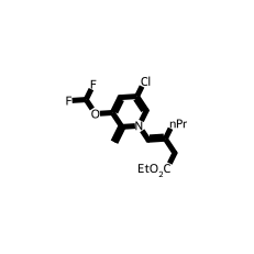 C=C1C(OC(F)F)=CC(Cl)=CN1/C=C(\CCC)CC(=O)OCC